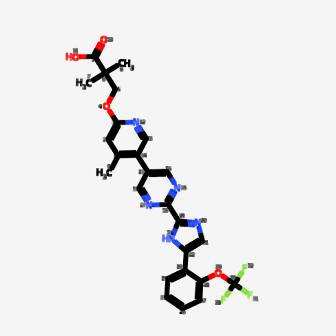 Cc1cc(OCC(C)(C)C(=O)O)ncc1-c1cnc(-c2ncc(-c3ccccc3OC(F)(F)F)[nH]2)nc1